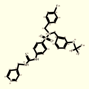 O=S(=O)(c1ccc(NC(=S)NCc2ccncc2)cc1)N(Cc1ccc(F)cc1)Cc1cccc(OC(F)(F)F)c1